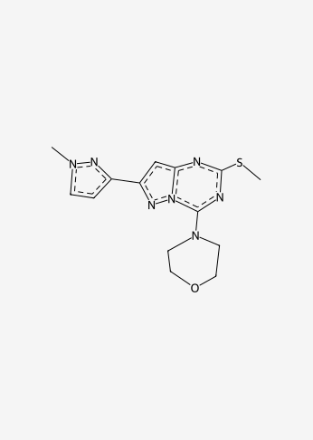 CSc1nc(N2CCOCC2)n2nc(-c3ccn(C)n3)cc2n1